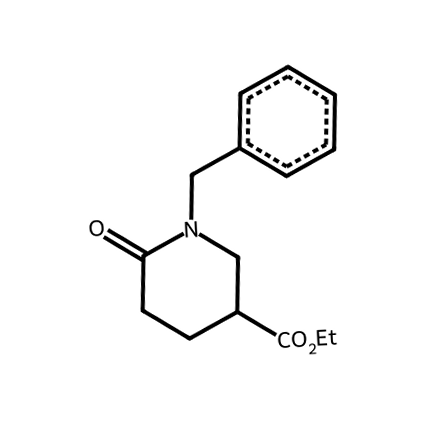 CCOC(=O)C1CCC(=O)N(Cc2ccccc2)C1